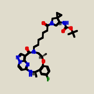 C[C@H]1CN(CCCCCCC(=O)N2C[C@H](NC(=O)OC(C)(C)C)C3(CC3)C2)C(=O)c2cnn3ccc(nc23)N[C@H](C)c2cc(F)ccc2O1